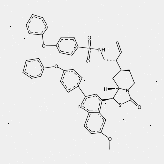 C=C[C@@H](CNS(=O)(=O)c1ccc(Oc2ccccc2)cc1)[C@H]1CCN2C(=O)S[C@@H](c3cc(-c4ccc(Oc5ccccc5)cc4)nc4ccc(OC)cc34)[C@@H]2C1